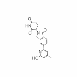 Cc1cc(O)nc(-c2ccc3c(c2)CN(C2CCC(=O)NC2=O)C3=O)c1